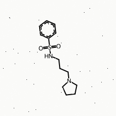 O=S(=O)(NCCCN1CCCC1)c1ccccc1